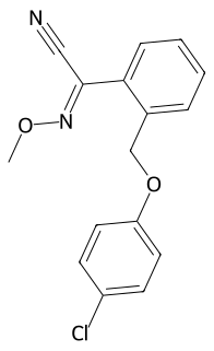 CON=C(C#N)c1ccccc1COc1ccc(Cl)cc1